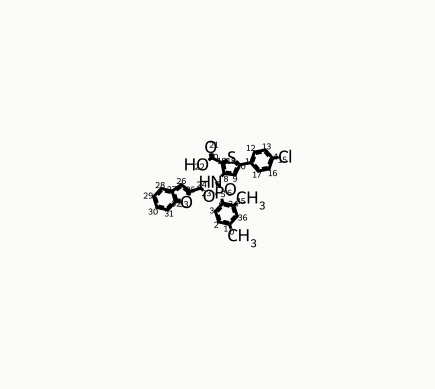 Cc1ccc(P(=O)(Nc2cc(-c3ccc(Cl)cc3)sc2C(=O)O)OCc2cc3ccccc3o2)c(C)c1